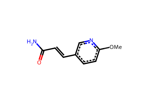 COc1ccc(C=CC(N)=O)cn1